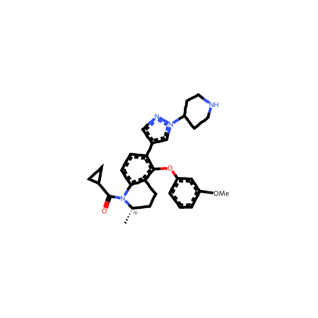 COc1cccc(Oc2c(-c3cnn(C4CCNCC4)c3)ccc3c2CC[C@H](C)N3C(=O)C2CC2)c1